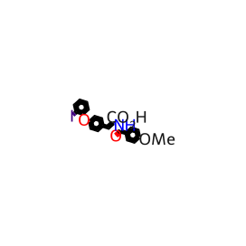 COc1ccc(C(=O)NC(=Cc2ccc(Oc3ccccc3I)cc2)C(=O)O)cc1